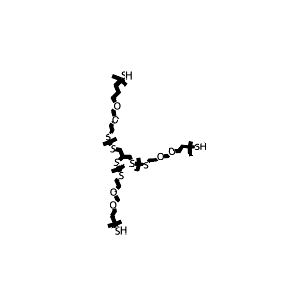 CC(C)(S)CCCOCOCCSC(C)(C)SCC(CSC(C)(C)SCCOCOCCC(C)(C)S)SC(C)(C)SCCOCOCCC(C)(C)S